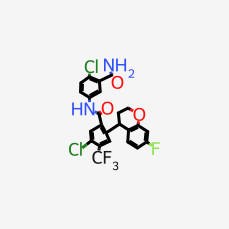 NC(=O)c1cc(NC(=O)c2cc(Cl)c(C(F)(F)F)cc2C2CCOc3cc(F)ccc32)ccc1Cl